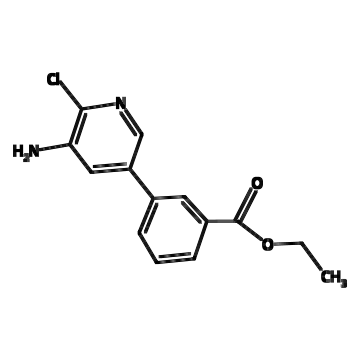 CCOC(=O)c1cccc(-c2cnc(Cl)c(N)c2)c1